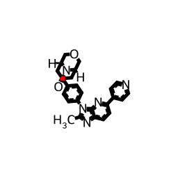 Cc1nc2ccc(-c3ccncc3)nc2n1-c1ccc(CN2[C@@H]3COC[C@H]2CC(=O)C3)cc1